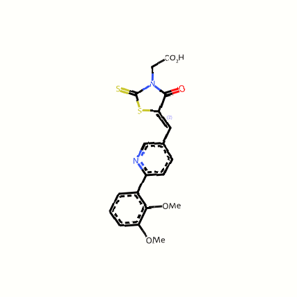 COc1cccc(-c2ccc(/C=C3\SC(=S)N(CC(=O)O)C3=O)cn2)c1OC